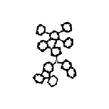 c1ccc(-c2cc(-c3ccccc3)c3c4ccccc4c4cc(N(c5ccc6c(c5)C5(CCCCC5)c5ccccc5-6)c5ccc6ccccc6c5)ccc4c3c2-c2ccccc2)cc1